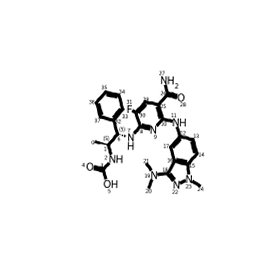 C[C@H](NC(=O)O)[C@@H](Nc1nc(Nc2ccc3c(c2)c(N(C)C)nn3C)c(C(N)=O)cc1F)c1ccccc1